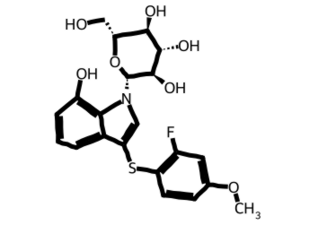 COc1ccc(Sc2cn([C@@H]3O[C@H](CO)[C@@H](O)[C@H](O)[C@H]3O)c3c(O)cccc23)c(F)c1